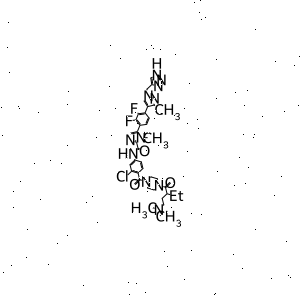 CCC(CCN(C)C)C(=O)N1CCN(C(=O)c2ccc(NC(=O)c3ncc(-c4ccc(-c5cn(Cc6c[nH]nn6)nc5C)c(F)c4F)n3C)cc2Cl)CC1